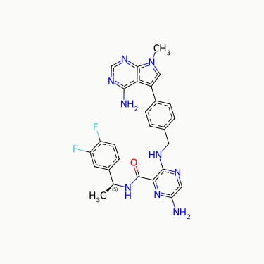 C[C@H](NC(=O)c1nc(N)cnc1NCc1ccc(-c2cn(C)c3ncnc(N)c23)cc1)c1ccc(F)c(F)c1